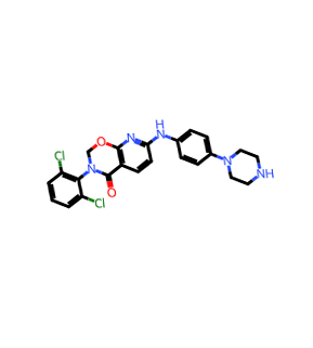 O=C1c2ccc(Nc3ccc(N4CCNCC4)cc3)nc2OCN1c1c(Cl)cccc1Cl